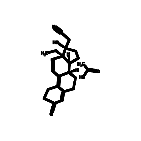 CC(=O)O.CC[C@]12C=CC3=C4CCC(=O)C=C4CC[C@H]3[C@@H]1CC[C@@]2(O)CC#N